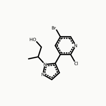 CC(CO)n1nccc1-c1cc(Br)cnc1Cl